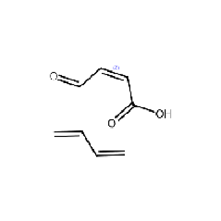 C=CC=C.O=C/C=C\C(=O)O